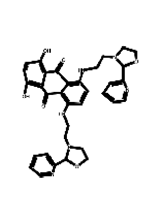 O=C1c2c(O)ccc(O)c2C(=O)c2c(NCCN3CCOC3c3ccccn3)ccc(NCCN3CCOC3c3ccccn3)c21